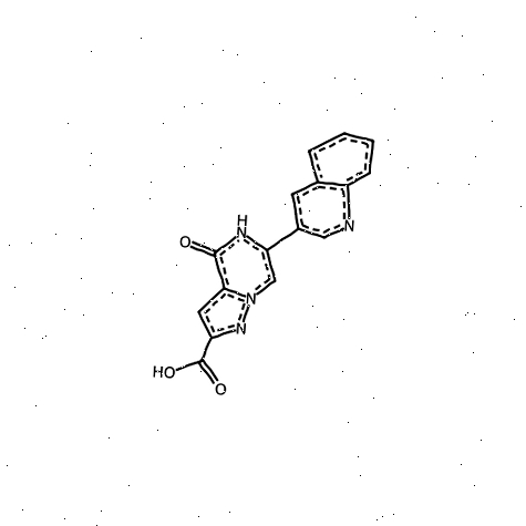 O=C(O)c1cc2c(=O)[nH]c(-c3cnc4ccccc4c3)cn2n1